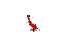 CC[C@H](CC[C@@H](C)[C@H]1CC[C@H]2[C@@H]3CC=C4C[C@@H](OC(=O)NCCCCCCCCN)CC[C@]4(C)[C@H]3CC[C@]12C)C(C)C